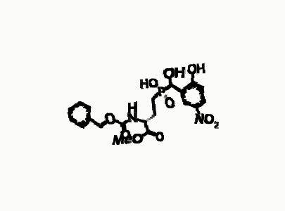 COC(=O)[C@@H](CCP(=O)(O)C(O)c1cc([N+](=O)[O-])ccc1O)NC(=O)OCc1ccccc1